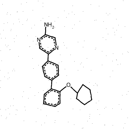 Nc1cnc(-c2ccc(-c3ccccc3OC3CCCCC3)cc2)cn1